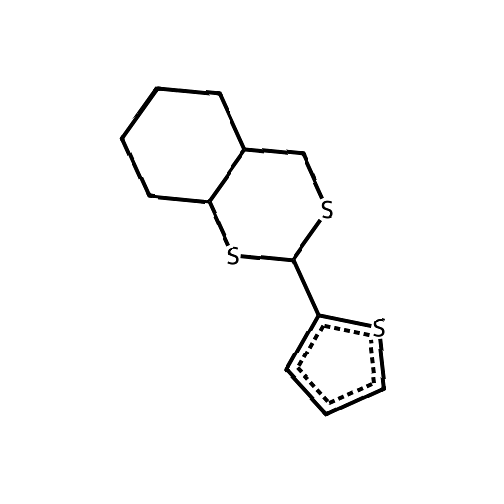 c1csc(C2SCC3CCCCC3S2)c1